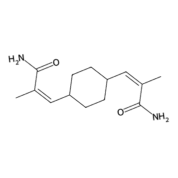 CC(=CC1CCC(C=C(C)C(N)=O)CC1)C(N)=O